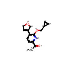 COC(=O)c1ccc(C2=CCOC2)c(OCC2CC2)n1